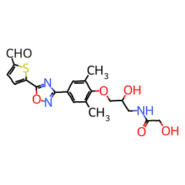 Cc1cc(-c2noc(-c3ccc(C=O)s3)n2)cc(C)c1OCC(O)CNC(=O)CO